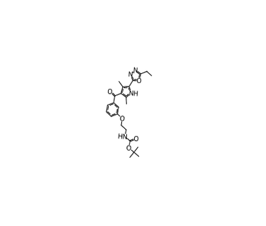 CCc1nnc(-c2[nH]c(C)c(C(=O)c3cccc(OCCNC(=O)OC(C)(C)C)c3)c2C)o1